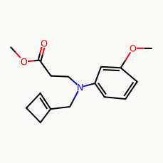 COC(=O)CCN(CC1=CCC1)c1cccc(OC)c1